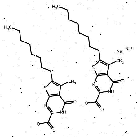 CCCCCCCCc1sc2nc(C(=O)[O-])[nH]c(=O)c2c1C.CCCCCCCCc1sc2nc(C(=O)[O-])[nH]c(=O)c2c1C.[Na+].[Na+]